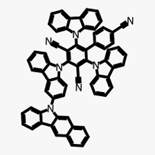 N#Cc1ccc(-c2c(-n3c4ccccc4c4ccccc43)c(C#N)c(-n3c4ccccc4c4cc(-n5c6ccccc6c6cc7ccccc7cc65)ccc43)c(C#N)c2-n2c3ccccc3c3ccccc32)cc1